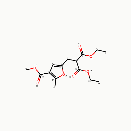 CCOC(=O)C(Cc1cc(C(=O)OC)c(C)o1)C(=O)OCC